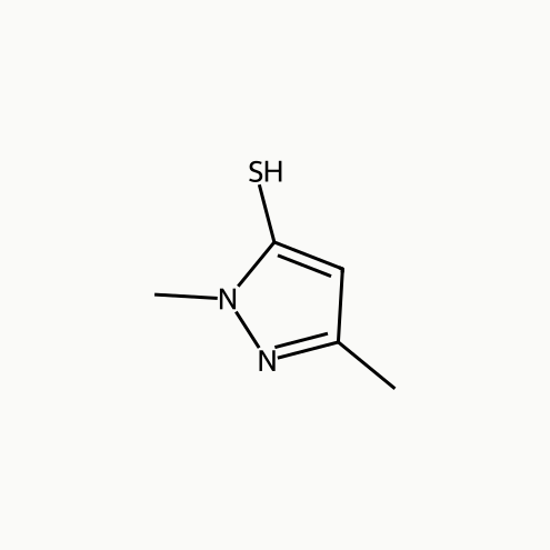 Cc1cc(S)n(C)n1